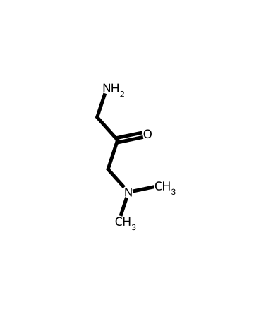 CN(C)CC(=O)CN